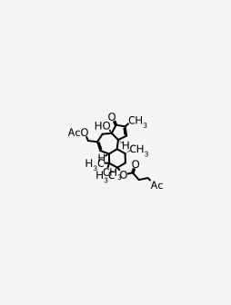 CC(=O)CCC(=O)O[C@]1(C)C[C@@H](C)C2[C@@H](C=C(COC(C)=O)C[C@]3(O)C(=O)C(C)=C[C@@H]23)C1(C)C